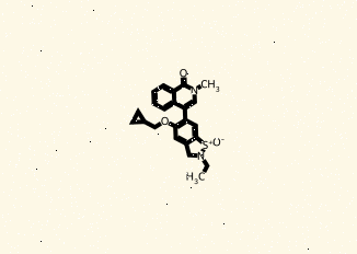 CCN1Cc2cc(OCC3CC3)c(-c3cn(C)c(=O)c4ccccc34)cc2[S+]1[O-]